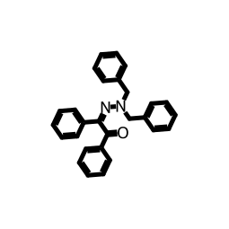 O=C(C(=NN(Cc1ccccc1)Cc1ccccc1)c1ccccc1)c1ccccc1